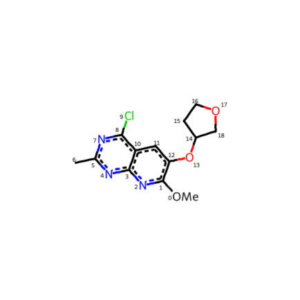 COc1nc2nc(C)nc(Cl)c2cc1OC1CCOC1